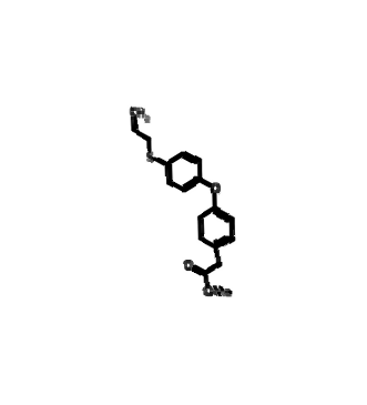 C=CCSc1ccc(Oc2ccc(CC(=O)OC)cc2)cc1